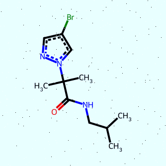 CC(C)CNC(=O)C(C)(C)n1cc(Br)cn1